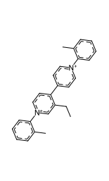 CCc1c[n+](-c2ccccc2C)ccc1-c1cc[n+](-c2ccccc2C)cc1